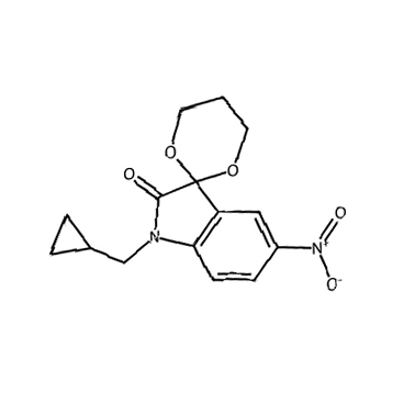 O=C1N(CC2CC2)c2ccc([N+](=O)[O-])cc2C12OCCCO2